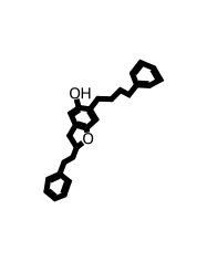 Oc1cc2c(cc1CCCCc1ccccc1)OC(CCc1ccccc1)C2